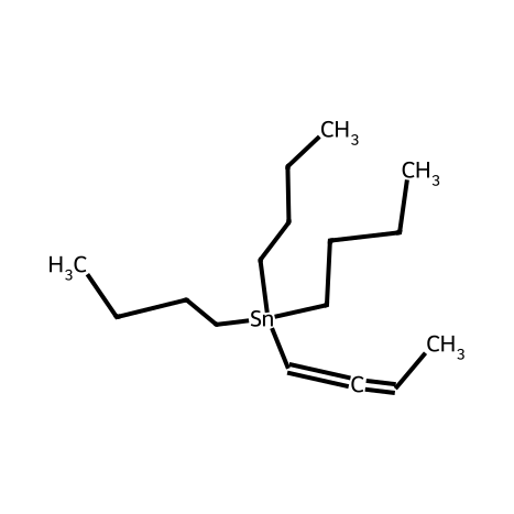 CC=C=[CH][Sn]([CH2]CCC)([CH2]CCC)[CH2]CCC